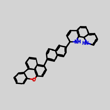 C1=CNC2C(=C1)C=CC1=C2NC(c2ccc3cc(-c4ccc5c6c(cccc46)-c4ccccc4O5)ccc3c2)C=C1